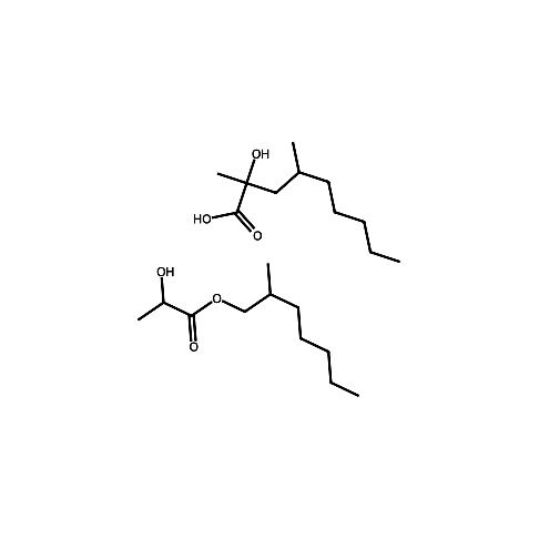 CCCCCC(C)CC(C)(O)C(=O)O.CCCCCC(C)COC(=O)C(C)O